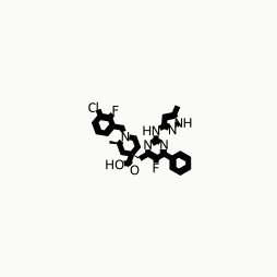 Cc1cc(Nc2nc(C[C@@]3(C(=O)O)CCN(Cc4cccc(Cl)c4F)[C@H](C)C3)c(F)c(-c3ccccc3)n2)n[nH]1